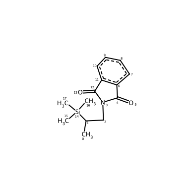 CC(CN1C(=O)c2ccccc2C1=O)[Si](C)(C)C